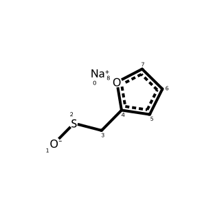 [Na+].[O-]SCc1ccco1